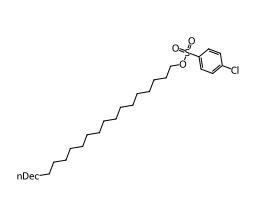 CCCCCCCCCCCCCCCCCCCCCCCCCCOS(=O)(=O)c1ccc(Cl)cc1